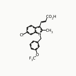 Cc1c(C=CC(=O)O)c2ccc(Cl)cc2n1Cc1cccc(OC(F)(F)F)c1